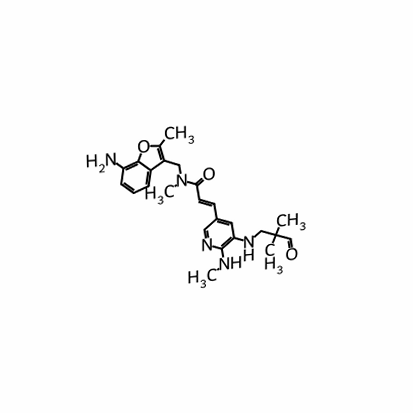 CNc1ncc(/C=C/C(=O)N(C)Cc2c(C)oc3c(N)cccc23)cc1NCC(C)(C)C=O